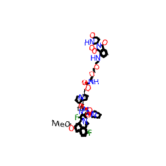 C#Cc1c(F)ccc2cc(OCOC)cc(-c3ncc4c(N5CC6CCC(C5)N6C(=O)OC(C)(C)C)nc(OC[C@]56CCCN5[C@@H](COC(=O)NCCOCCOCCNc5cccc7c5C(=O)N(C5CCC(=O)NC5=O)C7=O)CC6)nc4c3F)c12